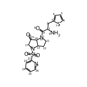 NC(Cc1cccs1)C(=O)N1CCC2C1C(=O)CN2S(=O)(=O)c1ccccn1